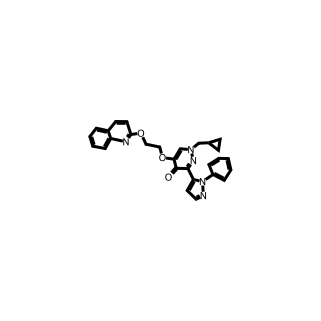 O=c1c(OCCOc2ccc3ccccc3n2)cn(CC2CC2)nc1-c1ccnn1-c1ccccc1